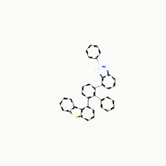 c1ccc(-c2c(-c3cccc4nn(-c5ccccc5)nc34)cccc2-c2cccc3sc4ccccc4c23)cc1